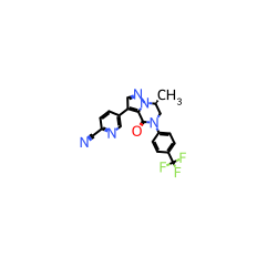 C[C@H]1CN(c2ccc(C(F)(F)F)cc2)C(=O)c2c(-c3ccc(C#N)nc3)cnn21